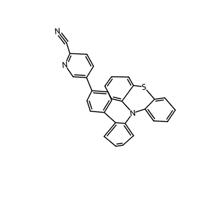 N#Cc1ccc(-c2ccc(-c3ccccc3N3c4ccccc4Sc4ccccc43)cc2)cn1